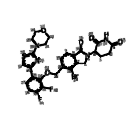 O=C1CCC(N2Cc3c(ccc(COc4c(-c5csc(N6CCOCC6)n5)ccc(F)c4F)c3Br)C2=O)C(=O)N1